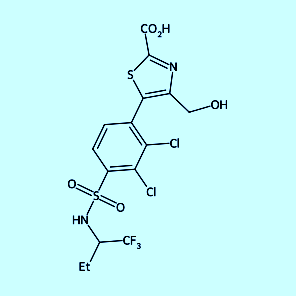 CCC(NS(=O)(=O)c1ccc(-c2sc(C(=O)O)nc2CO)c(Cl)c1Cl)C(F)(F)F